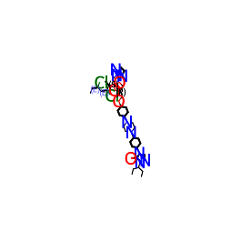 C=C(/C(Cl)=C\C(Cl)=C/C)[C@]1(Cn2nccn2)OC[C@@H](COc2ccc(N3CCN(c4ccc(-n5cnn(C(CC)CC)c5=O)cc4)CC3)cc2)O1